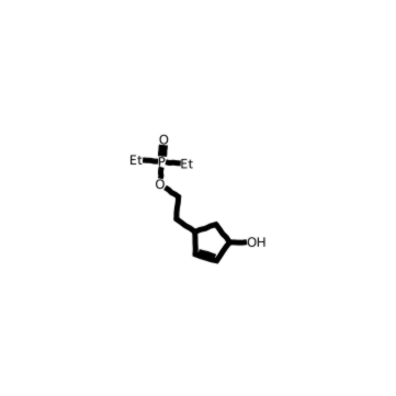 CCP(=O)(CC)OCCC1C=CC(O)C1